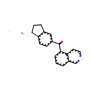 O=C(O)N[C@@H]1CCc2cc(C(=O)c3cccc4cnccc34)ccc21